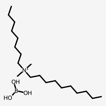 CCCCCCCCCC[N+](C)(C)CCCCCCCC.OB(O)O